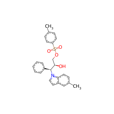 Cc1ccc(S(=O)(=O)OC[C@@H](O)[C@H](c2ccccc2)n2ccc3cc(C)ccc32)cc1